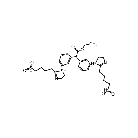 CCOC(=O)C(c1cccc([SH]2CCN=C2CCCC[SH](=O)=O)c1)c1cccc([SH]2CCN=C2CCCC[SH](=O)=O)c1